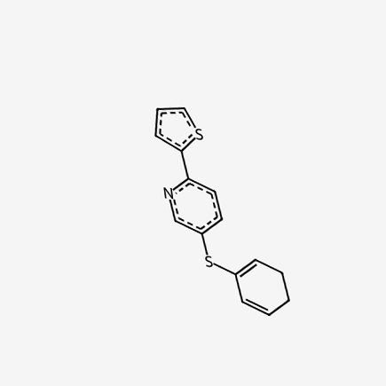 C1=CC(Sc2ccc(-c3cccs3)nc2)=CCC1